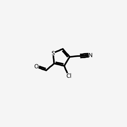 N#Cc1csc(C=O)c1Cl